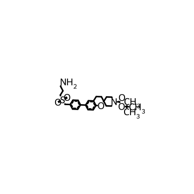 CC(C)(C)OC(=O)N1CCC2(CCc3cc(-c4ccc(CS(=O)(=O)CCCN)cc4)ccc3O2)CC1